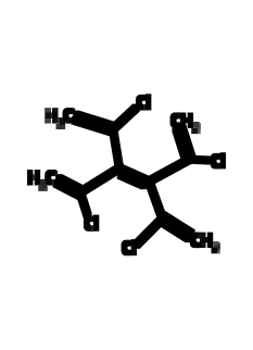 C=C(Cl)C(C(=C)Cl)=C(C(=C)Cl)C(=C)Cl